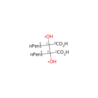 CCCCCC(O)(C(=O)O)C(O)(CCCCC)C(=O)O